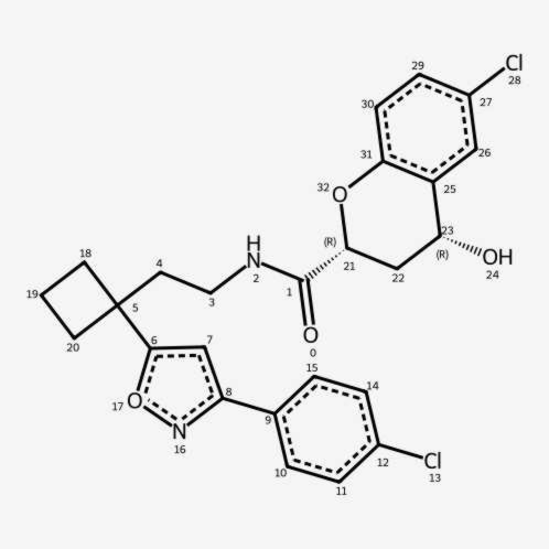 O=C(NCCC1(c2cc(-c3ccc(Cl)cc3)no2)CCC1)[C@H]1C[C@@H](O)c2cc(Cl)ccc2O1